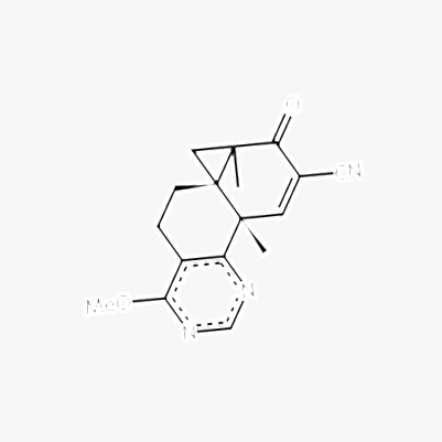 COc1ncnc2c1CC[C@@]13CC1(C)C(=O)C(C#N)=C[C@]23C